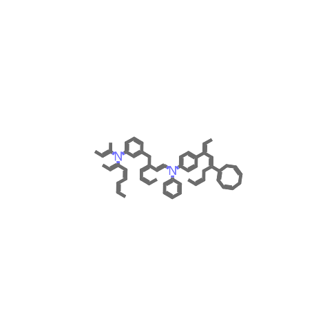 C\C=C/C=C\C(=C\C)N(/C(C)=C/C)c1cccc(CC(=C/C=C\C)/C=C/N(c2ccccc2)c2ccc(C(/C=C(C/C=C\C)/C3=C/C=C\C/C=C\C3)=C/C)cc2)c1